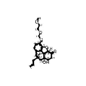 C=CCN1CC[C@]23c4c5ccc(OCOCCOC)c4O[C@H]2C(=O)CC[C@@]3(O)C1C5